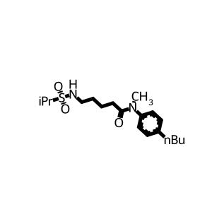 CCCCc1ccc(N(C)C(=O)CCCCNS(=O)(=O)C(C)C)cc1